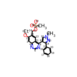 CCOc1cc2ncnc(-c3cn(C)nc3-c3ccccc3)c2cc1COS(C)(=O)=O